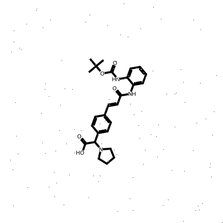 CC(C)(C)OC(=O)Nc1ccccc1NC(=O)/C=C/c1ccc(C(C(=O)O)N2CCCC2)cc1